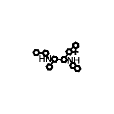 CC1(C)c2ccccc2-c2ccc(-c3cc(-c4ccc(Nc5cccc(-c6ccccc6)c5)c(-c5ccccc5)c4)ccc3Nc3ccc4ccccc4c3)cc21